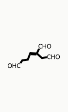 O=CCCC=C(C=O)CC=O